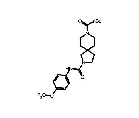 CCCCC(=O)N1CCC2(CC1)CCN(C(=O)Nc1ccc(OC(F)(F)F)cc1)C2